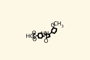 COc1cccc(-c2cc(=O)n(-c3ccc(S(=O)(=O)O)cc3)[nH]2)c1